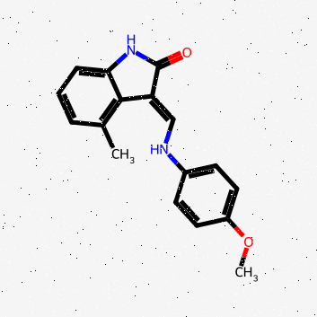 COc1ccc(N/C=C2/C(=O)Nc3cccc(C)c32)cc1